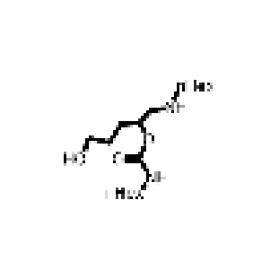 CCCCCCNCC(CCCO)OC(=O)NCCCCCC